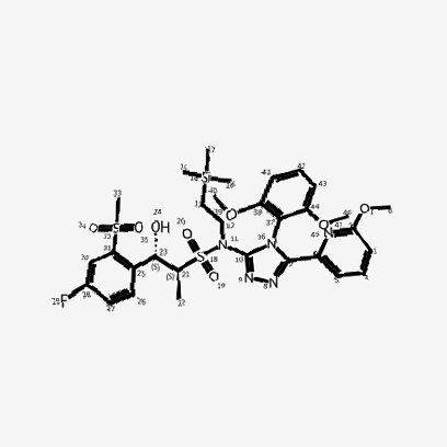 COc1cccc(-c2nnc(N(CC[Si](C)(C)C)S(=O)(=O)[C@@H](C)[C@@H](O)c3ccc(F)cc3S(C)(=O)=O)n2-c2c(OC)cccc2OC)n1